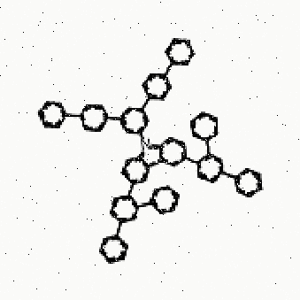 c1ccc(-c2ccc(-c3cc(-c4ccc(-c5ccccc5)cc4)cc(-n4c5ccc(-c6ccc(-c7ccccc7)cc6-c6ccccc6)cc5c5cc(-c6ccc(-c7ccccc7)cc6-c6ccccc6)ccc54)c3)cc2)cc1